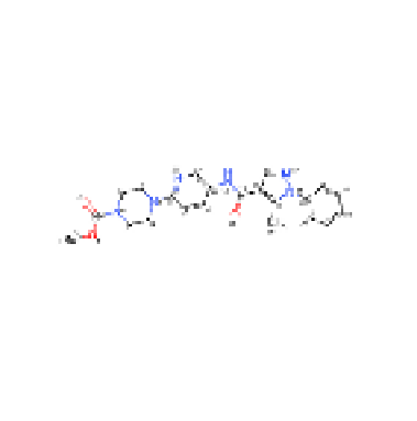 CC(C)(C)OC(=O)N1CCN(c2ccc(NC(=O)c3cnn(-c4ccccc4)c3C(F)(F)F)cn2)CC1